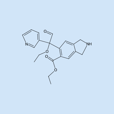 CCOC(=O)c1cc2c(cc1C(C=O)(OCC)c1cccnc1)CNC2